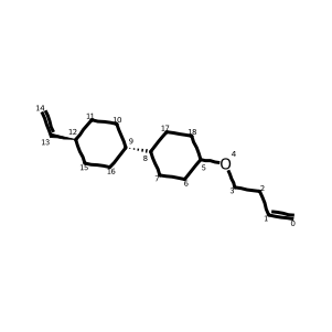 C=CCCOC1CCC([C@H]2CC[C@H](C=C)CC2)CC1